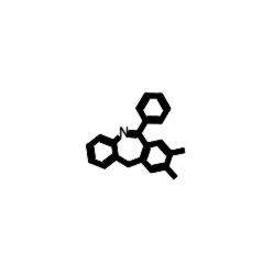 Cc1cc2c(cc1C)C(c1ccccc1)=Nc1ccccc1C2